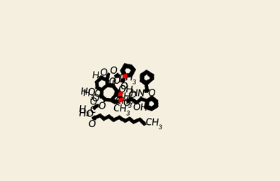 CC(=O)O[C@H]1C(=O)[C@@]2(C)[C@H]([C@H](OC(=O)c3ccccc3)[C@]3(O)C[C@H](OC(=O)[C@H](O)[C@@H](NC(=O)c4ccccc4)c4ccccc4)C(C)=C1C3(C)C)[C@]1(OC(C)=O)CO[C@@H]1C[C@@H]2O.CCCCCCCCCCCC(=O)O